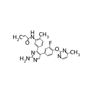 C=CC(=O)Nc1cc(-c2nc(N)ncc2-c2ccc(Oc3nccc(C)n3)c(F)c2)ccc1C